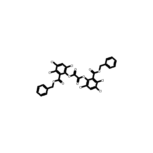 O=C(Oc1c(Cl)cc(Cl)c(Cl)c1C(=O)OCc1ccccc1)C(=O)Oc1c(Cl)cc(Cl)c(Cl)c1C(=O)OCc1ccccc1